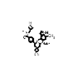 CCN(CC1CNC1)C(=O)c1ccc(C2CC3(CCN2Cc2c(OC)cc(C)c4[nH]ccc24)CC(C#N)C3)cc1